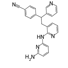 N#Cc1ccc(C(Cc2cccnc2Nc2cccc(N)n2)c2cccnc2)cc1